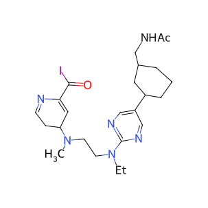 CCN(CCN(C)C1C=C(C(=O)I)N=CC1)c1ncc(C2CCCC(CNC(C)=O)C2)cn1